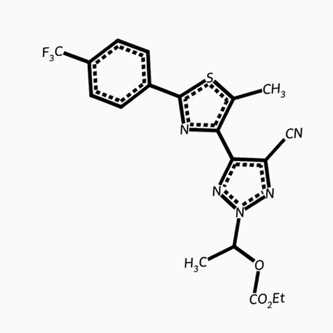 CCOC(=O)OC(C)n1nc(C#N)c(-c2nc(-c3ccc(C(F)(F)F)cc3)sc2C)n1